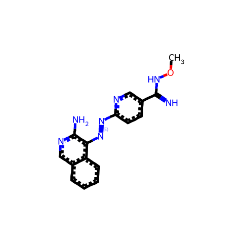 CONC(=N)c1ccc(/N=N/c2c(N)ncc3ccccc23)nc1